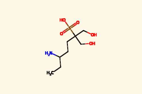 CCC(N)CCC(CO)(CO)S(=O)(=O)O